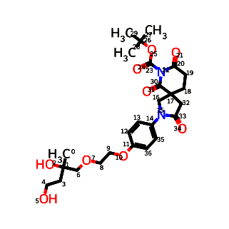 CC(O)(CCO)COCCOc1ccc(N2CC3(CCC(=O)N(C(=O)OC(C)(C)C)C3=O)CC2=O)cc1